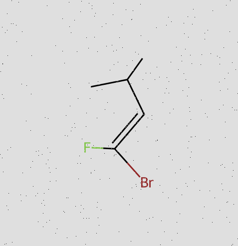 CC(C)/C=C(\F)Br